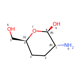 N[C@@H]1CC[C@@H](CO)O[C@H]1O